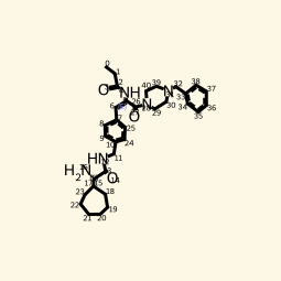 CCC(=O)N/C(=C/c1ccc(CNC(=O)[C@@H](N)C2CCCCCC2)cc1)C(=O)N1CCN(Cc2ccccc2)CC1